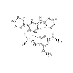 CNc1cc(OC)c2nc(C(F)F)n(-c3nc(Nc4cccnc4)nc(N4CCOCC4)n3)c2c1